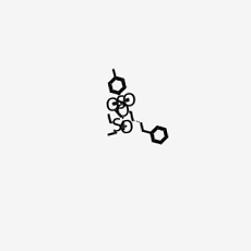 CC[Si](CC)(CC)O[C@@H](CCc1ccccc1)COS(=O)(=O)c1ccc(C)cc1